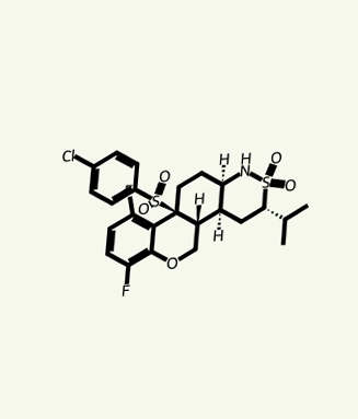 CC(C)[C@@H]1C[C@@H]2[C@@H](CC[C@@]3(S(=O)(=O)c4ccc(Cl)cc4)c4c(F)ccc(F)c4OC[C@@H]23)NS1(=O)=O